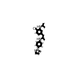 CC(C)Nc1cc(CC(C)Nc2ccc(-n3nccn3)cc2)ccc1Cl